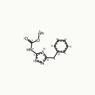 CCCOC(=O)Nc1nnc(Cc2ccccc2)s1